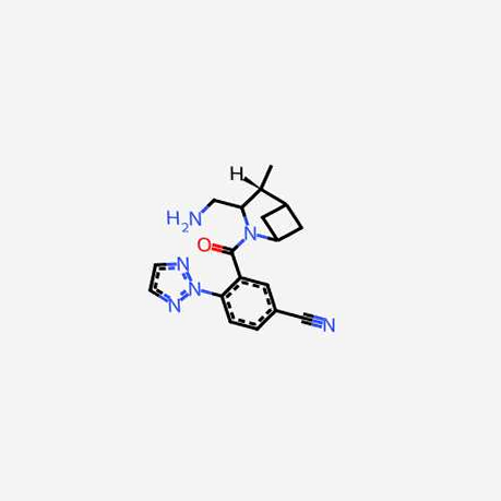 C[C@@H]1C2CC(C2)N(C(=O)c2cc(C#N)ccc2-n2nccn2)C1CN